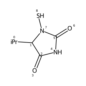 CC(C)C1C(=O)NC(=O)N1S